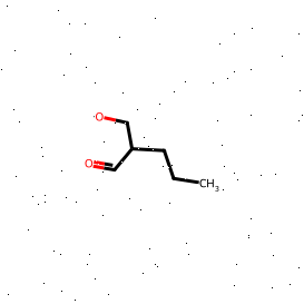 CCCC(C=O)C[O]